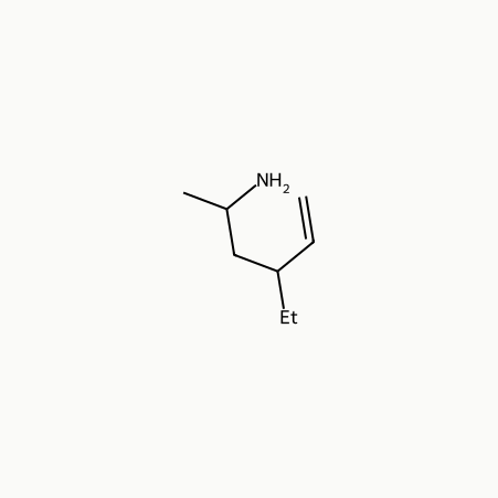 C=CC(CC)CC(C)N